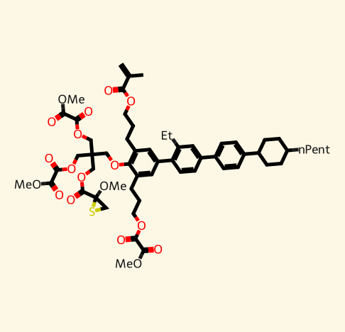 C=C(C)C(=O)OCCCc1cc(-c2ccc(-c3ccc(C4CCC(CCCCC)CC4)cc3)cc2CC)cc(CCCOC(=O)C(=O)OC)c1OCC(COC(=O)C(=O)OC)(COC(=O)C(=O)OC)COC(=O)C1(OC)CS1